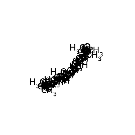 CCCC(=O)N(Cc1cc(F)c(C(=O)N[C@@H](Cc2ccc(-c3c(C)n(C)c(=O)n(C)c3=O)cc2)C(=O)O)c(F)c1)Cc1cc(F)c(C(=O)N[C@@H](Cc2ccc(-c3c(C)n(C)c(=O)n(C)c3=O)cc2)C(=O)O)c(F)c1